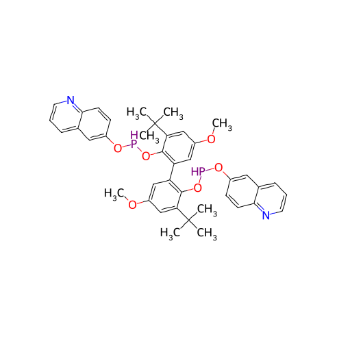 COc1cc(-c2cc(OC)cc(C(C)(C)C)c2OPOc2ccc3ncccc3c2)c(OPOc2ccc3ncccc3c2)c(C(C)(C)C)c1